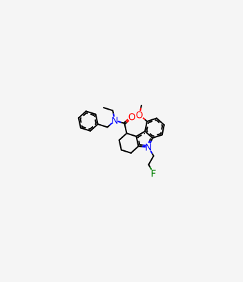 CCN(Cc1ccccc1)C(=O)C1CCCc2c1c1c(OC)cccc1n2CCF